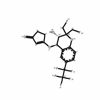 O=C1C=C(O[C@@H]2c3cc(C(F)(F)C(F)(F)F)ccc3OC(CF)(CF)[C@H]2O)CC1